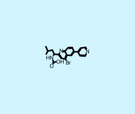 CC(C)CC(NC(=O)O)c1cc(Br)c2cc(-c3ccncc3)ccc2n1